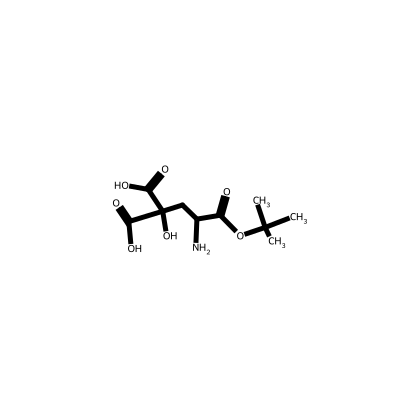 CC(C)(C)OC(=O)C(N)CC(O)(C(=O)O)C(=O)O